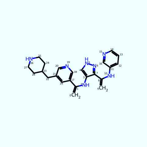 C=C(Nc1c[nH]nc1C(=C)Nc1cccnc1)c1cncc(CC2CCNCC2)c1